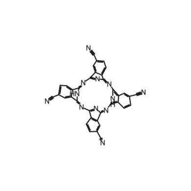 N#Cc1ccc2c(c1)-c1nc-2nc2[nH]c(nc3nc(nc4[nH]c(n1)c1ccc(C#N)cc41)-c1ccc(C#N)cc1-3)c1ccc(C#N)cc21